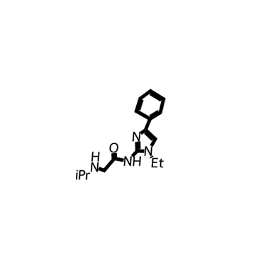 CCn1cc(-c2ccccc2)nc1NC(=O)CNC(C)C